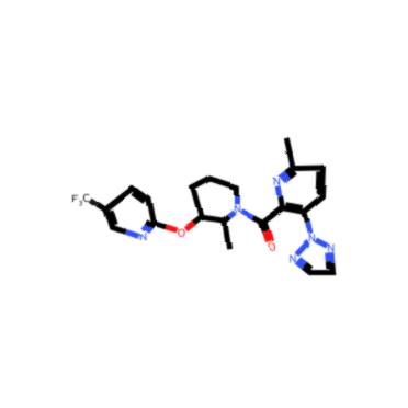 Cc1ccc(-n2nccn2)c(C(=O)N2CCCC(Oc3ccc(C(F)(F)F)cn3)C2C)n1